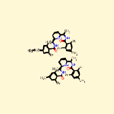 CC(NC(=O)c1c(C(C)C)cc(C)cc1C(C)C)=C1C=CCC(=C(C)NC(=O)c2c(C(C)C)cc(C)cc2C(C)C)N1.CC(NC(=O)c1c(C(C)C)cc(C)cc1C(C)C)=C1C=CCC(=C(C)NC(=O)c2c(C(C)C)cc(C)cc2C(C)C)N1.CC[CH2][Nd].[Nd]